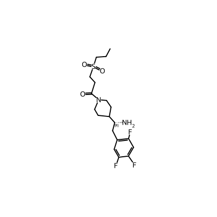 CCCS(=O)(=O)CCC(=O)N1CCC([C@H](N)Cc2cc(F)c(F)cc2F)CC1